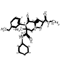 CCc1cccc(N2C(=O)c3cc(C(=O)OC)nn3CC2(C)C(=O)NC2CCCCC2)c1